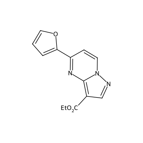 CCOC(=O)c1cnn2ccc(-c3ccco3)nc12